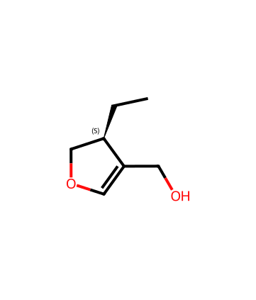 CC[C@@H]1COC=C1CO